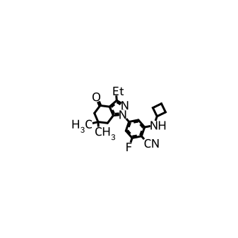 CCc1nn(-c2cc(F)c(C#N)c(NC3CCC3)c2)c2c1C(=O)CC(C)(C)C2